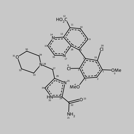 COc1cc(OC)c(Cl)c(-c2ccc(C(=O)O)c3nccnc23)c1Cl.NC(=O)c1nc(CN2CCOCC2)c[nH]1